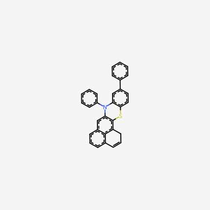 C1=Cc2cccc3cc4c(c(c23)C1)Sc1ccc(-c2ccccc2)cc1N4c1ccccc1